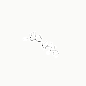 O=C(Nc1ncc(-c2ccc3nnc(Cl)cc3c2)s1)C1(F)CCOC1